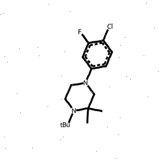 CC(C)(C)N1CCN(c2ccc(Cl)c(F)c2)CC1(C)C